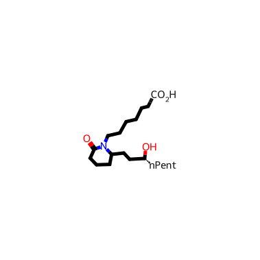 CCCCC[C@@H](O)CCC1CCCC(=O)N1CCCCCCC(=O)O